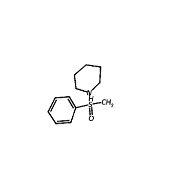 C[SH](=O)(c1ccccc1)N1CCCCC1